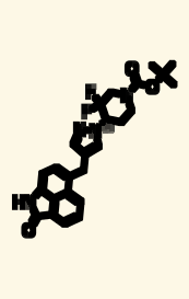 CC(C)(C)OC(=O)N1CC[C@H](n2cc(Cc3ccc4c5c(cccc35)C(=O)N4)cn2)C(F)(F)C1